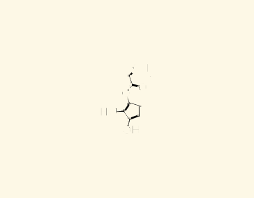 C=CC(=O)OC1=C(O)C(O)=CC1